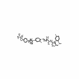 Cc1ccc2c(c1)N1C(=CC2C)CS/C1=N\C(=S)N/N=C/c1ccc(-c2ncn(-c3ccc(OC(F)(F)F)cc3)n2)cc1C